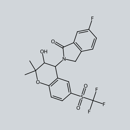 CC1(C)Oc2ccc(S(=O)(=O)C(F)(F)F)cc2C(N2Cc3ccc(F)cc3C2=O)C1O